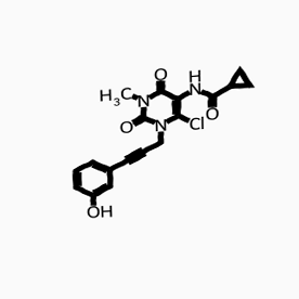 Cn1c(=O)c(NC(=O)C2CC2)c(Cl)n(CC#Cc2cccc(O)c2)c1=O